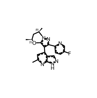 Cc1cc(-c2c(-c3ccc(F)cn3)nn3c2O[C@@H](C)C[C@H]3C)c2cn[nH]c2n1